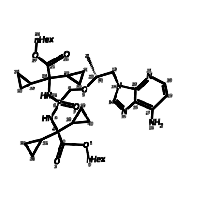 CCCCCCOC(=O)C(NP(=O)(CO[C@H](C)Cn1cnc2c(N)ccnc21)NC(C(=O)OCCCCCC)(C1CC1)C1CC1)(C1CC1)C1CC1